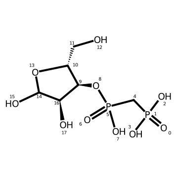 O=P(O)(O)CP(=O)(O)O[C@@H]1[C@@H](CO)OC(O)[C@@H]1O